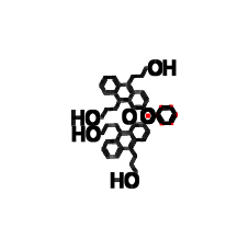 OCCCc1c2ccccc2c(CCCO)c2c(Oc3c(Oc4ccccc4)ccc4c(CCCO)c5ccccc5c(CCCO)c34)c(Oc3ccccc3)ccc12